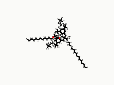 CCCCCCCCCCCCSCCOC(=O)C(Cc1cc(C(C)(C)C)c(OC(=O)OC(C)(C)C)c(C(C)(C)C)c1)(Cc1cc(C(C)(C)C)c(OC(=O)OC(C)(C)C)c(C(C)(C)C)c1)C(=O)OCCSCCCCCCCCCCCC